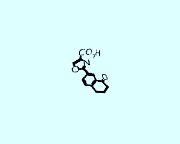 O=C(O)c1coc(-c2ccc3c(c2)C(=O)CCC3)n1